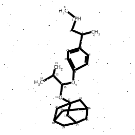 CPCC(C)c1ccc(OC(OC23CC4CC(CC(C4)C2)C3)C(C)C)cc1